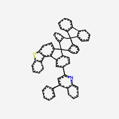 c1ccc(-c2cc(-c3ccc4c(c3)-c3c(ccc5sc6ccccc6c35)C43c4ccccc4C4(c5ccccc5-c5ccccc54)c4ccccc43)nc3ccccc23)cc1